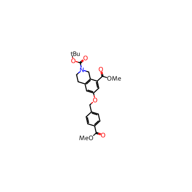 COC(=O)c1ccc(COc2cc3c(c(C(=O)OC)c2)CN(C(=O)OC(C)(C)C)CC3)cc1